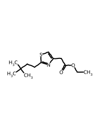 CCOC(=O)Cc1csc(CCC(C)(C)C)n1